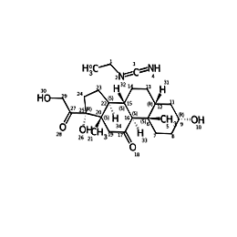 CCN=C=N.C[C@]12CC[C@@H](O)C[C@H]1CC[C@@H]1[C@@H]2C(=O)C[C@@]2(C)[C@H]1CC[C@]2(O)C(=O)CO